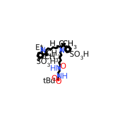 CCN1c2ccc(S(=O)(=O)O)cc2C(C)(C)C1CCCCCC1N(CCCCCC(=O)NCCNC(=O)OC(C)(C)C)c2cc(S(=O)(=O)O)ccc2C1(C)C